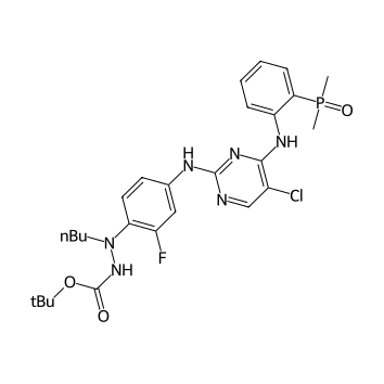 CCCCN(NC(=O)OC(C)(C)C)c1ccc(Nc2ncc(Cl)c(Nc3ccccc3P(C)(C)=O)n2)cc1F